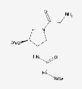 CNNC(=O)N[C@H]1CN(C(=O)CN)C[C@@H]1OC